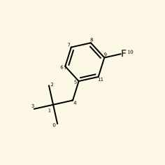 CC(C)(C)Cc1[c]ccc(F)c1